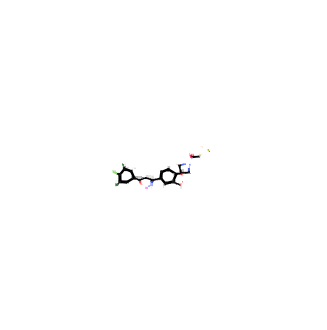 C[S+]([O-])CC(=O)N1CC2(C1)OCc1cc(C3=NOC(c4cc(Cl)c(F)c(Cl)c4)C3)ccc12